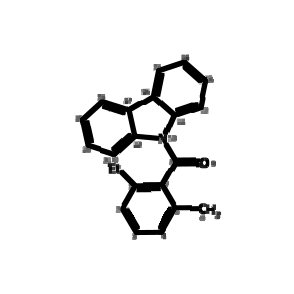 CCc1cccc(C)c1C(=O)n1c2ccccc2c2ccccc21